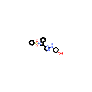 O=S(=O)(c1ccccc1)n1cc(-c2ccnc(N[C@H]3CC[C@H](O)CC3)n2)c2ccccc21